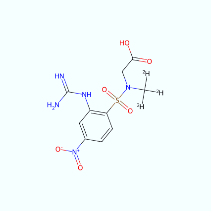 [2H]C([2H])([2H])N(CC(=O)O)S(=O)(=O)c1ccc([N+](=O)[O-])cc1NC(=N)N